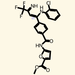 COC(=O)c1ccc(NC(=O)c2ccc(/C(=C/C(=N)C(F)(F)F)Nc3ccccc3Cl)cc2)o1